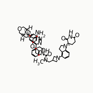 CN(CC1CN(c2cccc3c2CCN3[C@H]2CCC(=O)NC2=O)C1)C(=O)N1CCC(Oc2cccc(N3[C@@H]4COC[C@H]3CN(c3cc(-c5ccccc5O)nnc3N)C4)c2)CC1